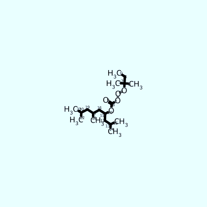 CCC(C)(C)OOOC(=O)OC(CC(C)C)CC(C)CC(C)C